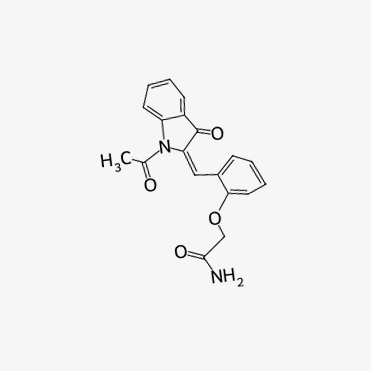 CC(=O)N1C(=Cc2ccccc2OCC(N)=O)C(=O)c2ccccc21